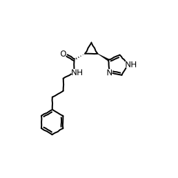 O=C(NCCCc1ccccc1)[C@@H]1C[C@H]1c1c[nH]cn1